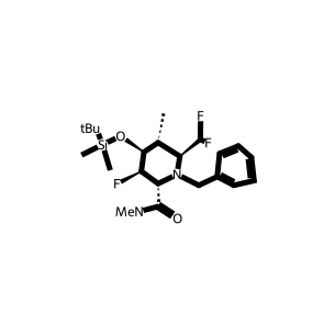 CNC(=O)[C@@H]1[C@@H](F)[C@@H](O[Si](C)(C)C(C)(C)C)[C@H](C)[C@@H](C(F)F)N1Cc1ccccc1